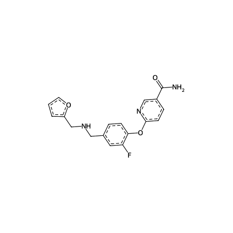 NC(=O)c1ccc(Oc2ccc(CNCc3ccco3)cc2F)nc1